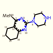 CNc1nc(N2CCNCC2)nc2c1CCCC2